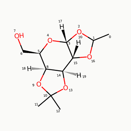 CC1O[C@H]2O[C@H](CO)[C@@H]3OC(C)(C)O[C@@H]3[C@H]2O1